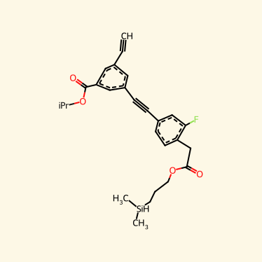 C#Cc1cc(C#Cc2ccc(CC(=O)OCCC[SiH](C)C)c(F)c2)cc(C(=O)OC(C)C)c1